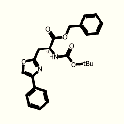 CC(C)(C)OC(=O)N[C@@H](Cc1nc(-c2ccccc2)co1)C(=O)OCc1ccccc1